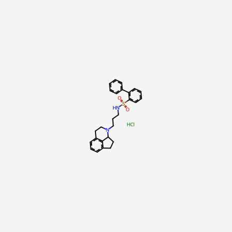 Cl.O=S(=O)(NCCCN1CCc2cccc3c2C1CC3)c1ccccc1-c1ccccc1